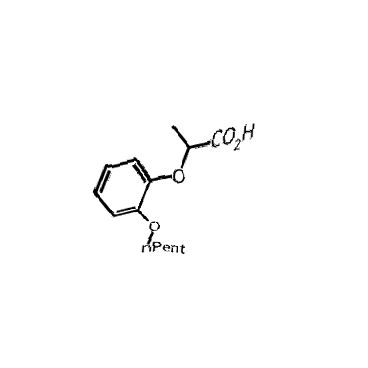 CCCCCOc1ccccc1OC(C)C(=O)O